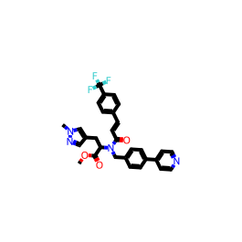 COC(=O)C(Cc1cnn(C)c1)N(Cc1ccc(-c2ccncc2)cc1)C(=O)C=Cc1ccc(C(F)(F)F)cc1